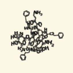 NCC[C@H](O)C(=O)N[C@@H]1C[C@H](NC(=O)OCc2ccccc2)[C@@H](O[C@H]2O[C@H](CNCCCc3ccccc3)[C@@H](O)[C@H](O)[C@H]2N)[C@H](O[C@@H]2O[C@H](CO)[C@@H](O[C@H]3O[C@@H](CN)[C@@H](O)[C@H](O)[C@H]3N)[C@H]2OCCNCCc2ccccc2)[C@H]1O